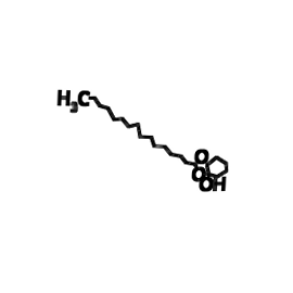 CCCCCCCCCCCCCCCC(=O)OC1(O)CCCCC1